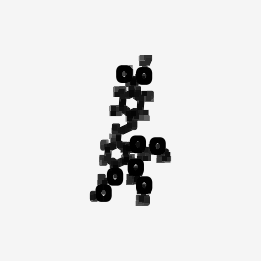 COCOc1ccc(C=Cc2ccc(C(=O)OC)cc2)c(OCOC)c1OCOC